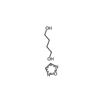 OCCCCO.c1cnon1